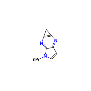 CCCn1ccc2nc3c(nc21)C3